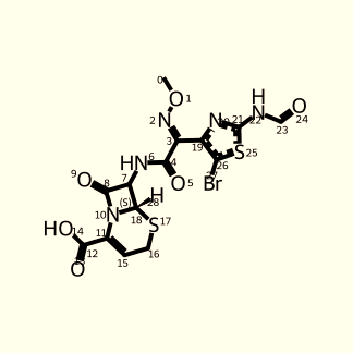 CON=C(C(=O)NC1C(=O)N2C(C(=O)O)=CCS[C@@H]12)c1nc(NC=O)sc1Br